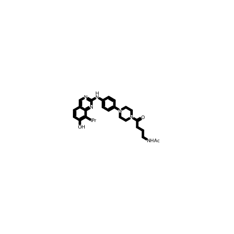 CC(=O)NCCCC(=O)N1CCN(c2ccc(Nc3ncc4ccc(O)c(C(C)C)c4n3)cc2)CC1